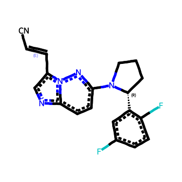 N#C/C=C/c1cnc2ccc(N3CCC[C@@H]3c3cc(F)ccc3F)nn12